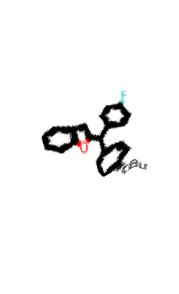 CC(C)(C)c1ccc(C(c2ccc(F)cc2)c2cc3ccccc3o2)cc1